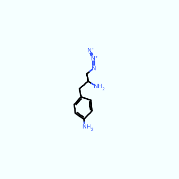 [N-]=[N+]=NCC(N)Cc1ccc(N)cc1